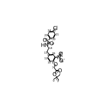 CC(C)(C)OC(=O)COc1ccc(CCNS(=O)(=O)c2ccc(Cl)cc2)cc1[N+](=O)[O-]